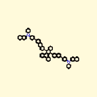 c1ccc(N(c2ccc(-c3ccc4cc(-c5c6ccccc6c(-c6ccc7cc8cc(-c9ccc(N(c%10ccccc%10)c%10ccc%11ccccc%11c%10)cc9)ccc8cc7c6)c6c7ccccc7c7ccccc7c56)ccc4c3)cc2)c2ccc3ccccc3c2)cc1